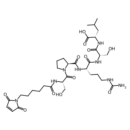 CC(C)C[C@H](NC(=O)[C@H](CO)NC(=O)[C@H](CCCNC(N)=O)NC(=O)[C@@H]1CCCN1C(=O)[C@H](CO)NC(=O)CCCCCN1C(=O)C=CC1=O)C(=O)O